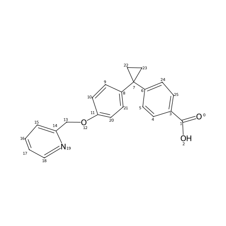 O=C(O)c1ccc(C2(c3ccc(OCc4ccccn4)cc3)CC2)cc1